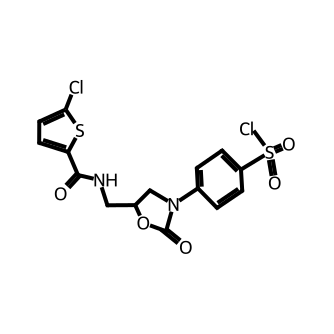 O=C(NCC1CN(c2ccc(S(=O)(=O)Cl)cc2)C(=O)O1)c1ccc(Cl)s1